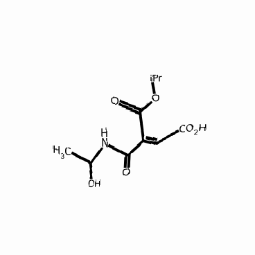 CC(O)NC(=O)C(=CC(=O)O)C(=O)OC(C)C